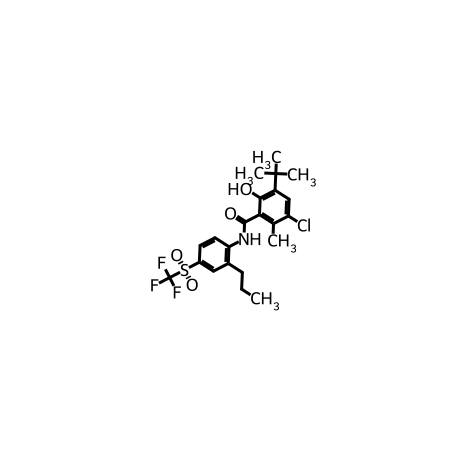 CCCc1cc(S(=O)(=O)C(F)(F)F)ccc1NC(=O)c1c(C)c(Cl)cc(C(C)(C)C)c1O